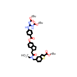 CCCCOC(=O)c1cc2cc(CN(CC(=O)O)C(=O)CC3CCc4cc(OC(=O)c5ccc(N/C(=N/C(=O)OC(C)(C)C)NC(=O)OC(C)(C)C)cc5)ccc43)ccc2s1